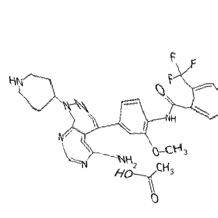 CC(=O)O.COc1cc(-c2nn(C3CCNCC3)c3ncnc(N)c23)ccc1NC(=O)c1ccccc1C(F)(F)F